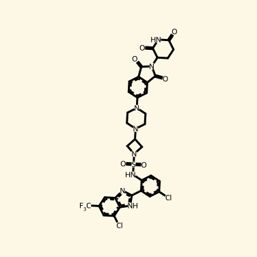 O=C1CCC(N2C(=O)c3ccc(N4CCN(C5CN(S(=O)(=O)Nc6ccc(Cl)cc6-c6nc7cc(C(F)(F)F)cc(Cl)c7[nH]6)C5)CC4)cc3C2=O)C(=O)N1